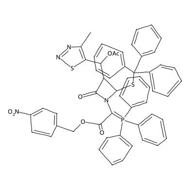 CC(=O)OC(c1snnc1C)C1C(=O)N(C(C(=O)OCc2ccc([N+](=O)[O-])cc2)=P(c2ccccc2)(c2ccccc2)c2ccccc2)C1SC(c1ccccc1)(c1ccccc1)c1ccccc1